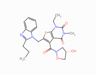 CCCc1nc2ccccc2n1Cc1sc2c(c1C(=O)N1C[C@H](O)CO1)c(=O)n(C)c(=O)n2CC